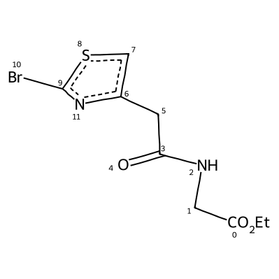 CCOC(=O)CNC(=O)Cc1csc(Br)n1